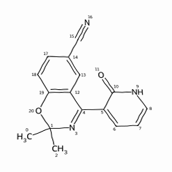 CC1(C)N=C(c2ccc[nH]c2=O)c2cc(C#N)ccc2O1